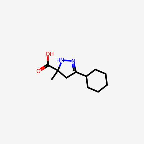 CC1(C(=O)O)CC(C2CCCCC2)=NN1